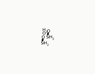 O.O=[SiH2].O=[SiH2]